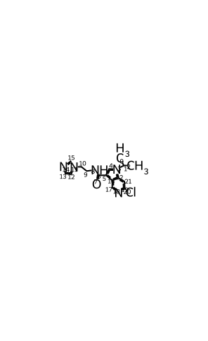 CC(C)n1cc(C(=O)NCCn2ccnc2)c2cnc(Cl)cc21